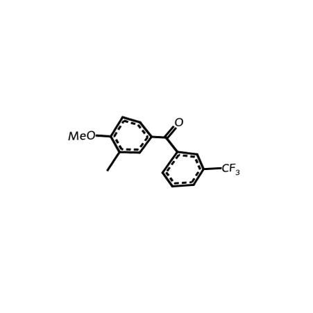 COc1ccc(C(=O)c2cccc(C(F)(F)F)c2)cc1C